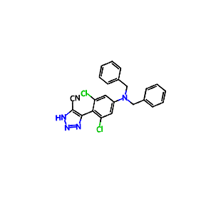 N#Cc1[nH]nnc1-c1c(Cl)cc(N(Cc2ccccc2)Cc2ccccc2)cc1Cl